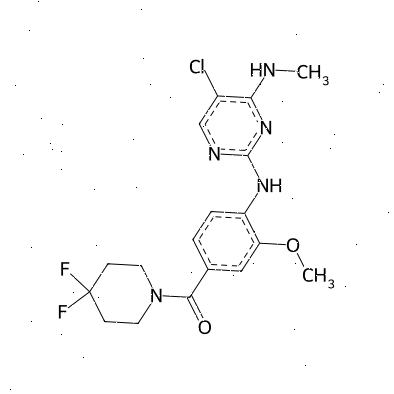 CNc1nc(Nc2ccc(C(=O)N3CCC(F)(F)CC3)cc2OC)ncc1Cl